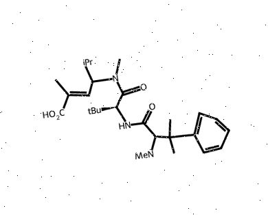 CNC(C(=O)N[C@H](C(=O)N(C)C(/C=C(\C)C(=O)O)C(C)C)C(C)(C)C)C(C)(C)c1ccccc1